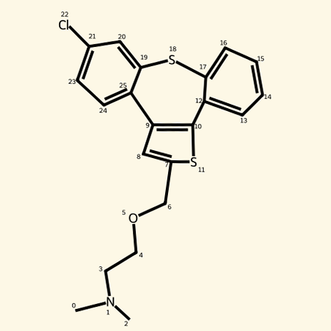 CN(C)CCOCc1cc2c(s1)-c1ccccc1Sc1cc(Cl)ccc1-2